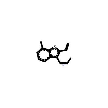 C=Cc1sc2c(C)cccc2c1/C=C\C